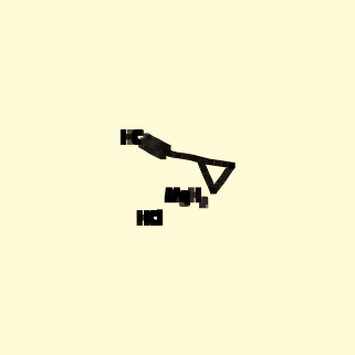 C#CC1CC1.Cl.[MgH2]